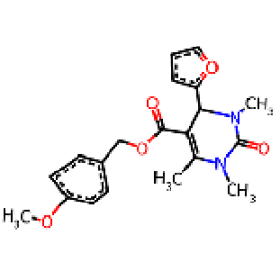 COc1ccc(COC(=O)C2=C(C)N(C)C(=O)N(C)C2c2ccco2)cc1